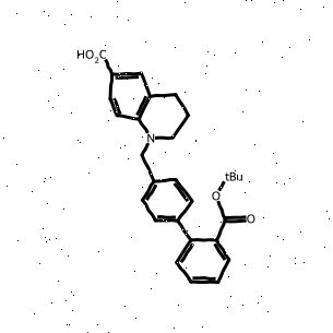 CC(C)(C)OC(=O)c1ccccc1-c1ccc(CN2CCCc3cc(C(=O)O)ccc32)cc1